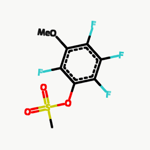 COc1c(F)c(F)c(F)c(OS(C)(=O)=O)c1F